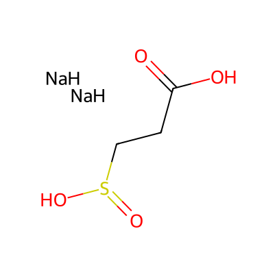 O=C(O)CCS(=O)O.[NaH].[NaH]